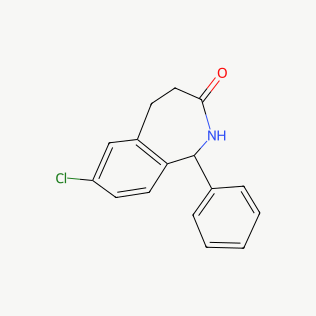 O=C1CCc2cc(Cl)ccc2C(c2ccccc2)N1